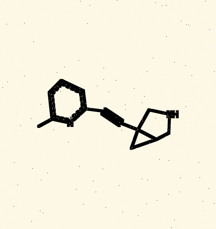 Cc1cccc(C#CC23CNCC2C3)n1